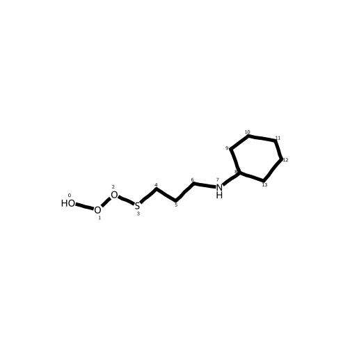 OOOSCCCNC1CCCCC1